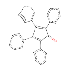 O=C1C(c2ccccc2)=C(C2=CCCC=C2)C(c2ccccc2)=C1c1ccccc1